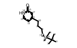 CC(C)(C)[Si](C)(C)OCCCc1cc[nH]c(=O)c1